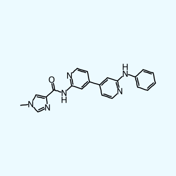 Cn1cnc(C(=O)Nc2cc(-c3ccnc(Nc4ccccc4)c3)ccn2)c1